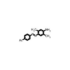 CC(=O)c1ccc(/N=N/c2cc(C)c(N)cc2C)cc1